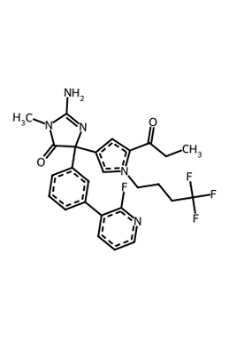 CCC(=O)c1cc(C2(c3cccc(-c4cccnc4F)c3)N=C(N)N(C)C2=O)cn1CCCC(F)(F)F